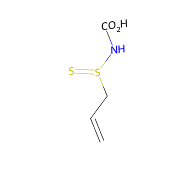 C=CCS(=S)NC(=O)O